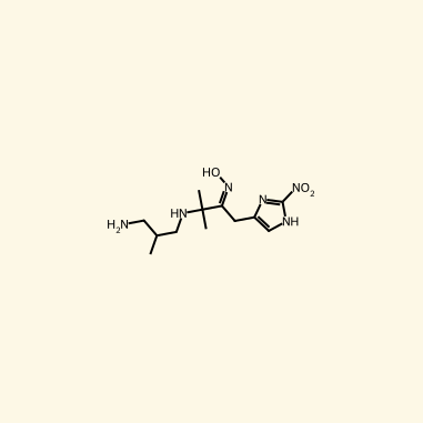 CC(CN)CNC(C)(C)C(Cc1c[nH]c([N+](=O)[O-])n1)=NO